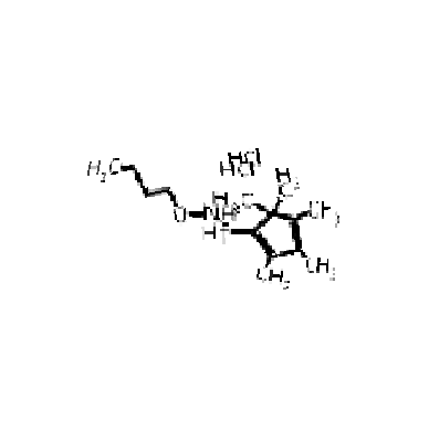 CCCCO[NH][Hf][C]1=C(C)C(C)=C(C)C1(C)C.Cl.Cl